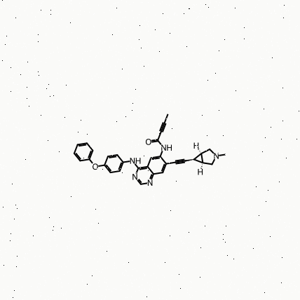 CC#CC(=O)Nc1cc2c(Nc3ccc(Oc4ccccc4)cc3)ncnc2cc1C#C[C@H]1[C@H]2CN(C)C[C@@H]12